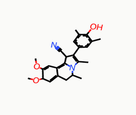 COC1=CC2=C3C(C#N)C(c4cc(C)c(O)c(C)c4)=C(C)N3C(C)CC2=CC1OC